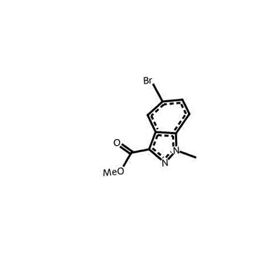 COC(=O)c1nn(C)c2ccc(Br)cc12